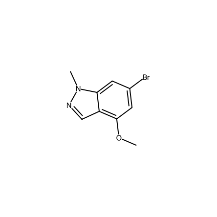 COc1cc(Br)cc2c1cnn2C